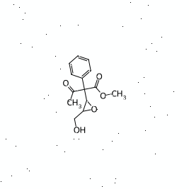 COC(=O)C(C(C)=O)(c1ccccc1)C1OC1CO